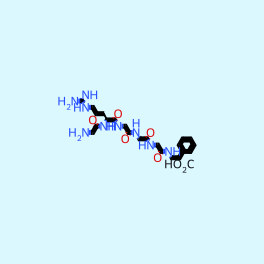 N=C(N)NCCC[C@H](NC(=O)CN)C(=O)NCC(=O)NCC(=O)NCC(=O)N[C@@H](Cc1ccccc1)C(=O)O